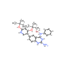 CC(C)(C)Oc1cc(OC(C)(C)C)c(-c2ccc3nc(N)nc(N(Br)c4ccccc4)c3c2)cn1